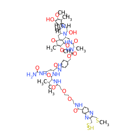 COC1=C(C)C(=O)C2=C(C1=O)[C@H](CNC(=O)[C@H](C)NC(=O)OCc1ccc(NC(=O)[C@H](CCCNC(N)=O)NC(=O)[C@@H](NC(=O)CCOCCOCCNC(=O)c3ccc4nc(CSC)c(CSS)nc4c3)C(C)C)cc1)N1[C@@H](O)[C@@H]3Cc4c(cc(O)c(OC)c4C)[C@@H]([C@@H]1C2)N3C